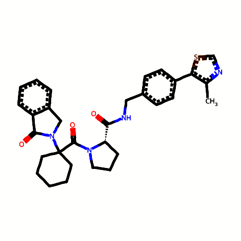 Cc1ncsc1-c1ccc(CNC(=O)[C@@H]2CCCN2C(=O)C2(N3Cc4ccccc4C3=O)CCCCC2)cc1